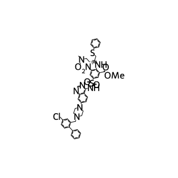 COC(=O)c1cc(S(=O)(=O)Nc2ncnc3cc(N4CCN(Cc5cc(Cl)ccc5-c5ccccc5)CC4)ccc23)cc([N+](=O)[O-])c1N[C@H](CCN(C)C)CSc1ccccc1